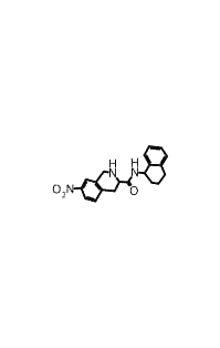 O=C(NC1CCCc2ccccc21)C1Cc2ccc([N+](=O)[O-])cc2CN1